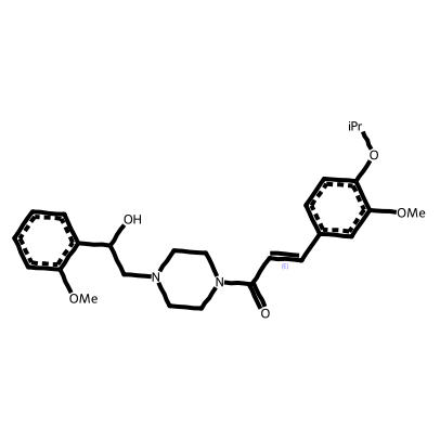 COc1cc(/C=C/C(=O)N2CCN(CC(O)c3ccccc3OC)CC2)ccc1OC(C)C